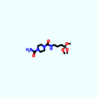 CO[Si](CCCNC(=O)N1CCN(C(N)=O)CC1)(OC)OC